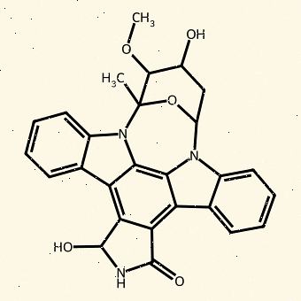 COC1C(O)CC2OC1(C)n1c3ccccc3c3c4c(c5c6ccccc6n2c5c31)C(=O)NC4O